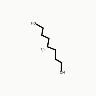 OCCCCCCCO.S